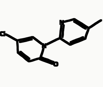 Cc1ccc(-n2cc(Cl)ccc2=O)nc1